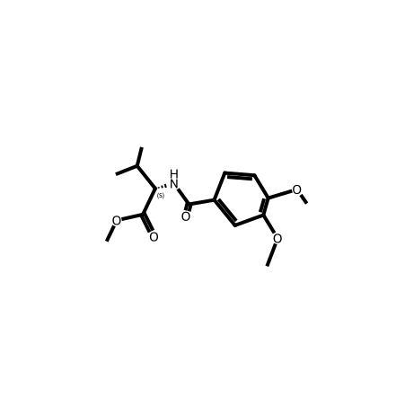 COC(=O)[C@@H](NC(=O)c1ccc(OC)c(OC)c1)C(C)C